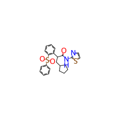 O=C(Nc1nccs1)C(CC1CCCC1)c1ccccc1S(=O)(=O)c1ccccc1